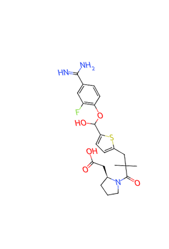 CC(C)(Cc1ccc(C(O)Oc2ccc(C(=N)N)cc2F)s1)C(=O)N1CCC[C@H]1CC(=O)O